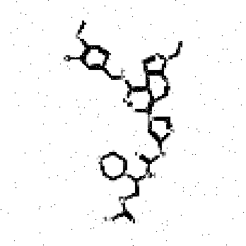 CCn1ncc2c3c(NCc4ccc(OC)c(Cl)c4)nnc(-n4cnc(NC(=O)NC(CNC(N)=O)N5CCOCC5)c4)c3cnc21